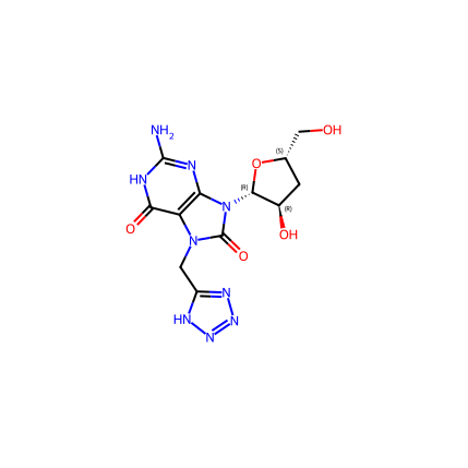 Nc1nc2c(c(=O)[nH]1)n(Cc1nnn[nH]1)c(=O)n2[C@@H]1O[C@H](CO)C[C@H]1O